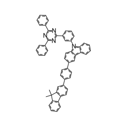 CC1(C)c2ccccc2-c2ccc(-c3ccc(-c4ccc5c(c4)c4ccccc4n5-c4cccc(-c5nc(-c6ccccc6)nc(-c6ccccc6)n5)c4)cc3)cc21